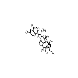 CCCCCC1(CC)NC(N)C2CCN([C@@H]3O[C@H]([C@@H]4OC[C@H](F)c5cc(Cl)ccc54)[C@@H](O)[C@H]3O)C2N1